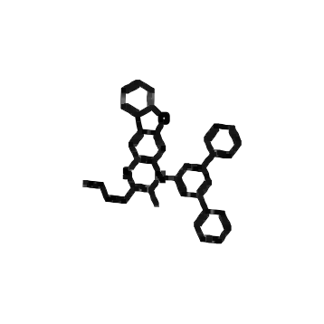 C=C/C=C\C1=C(C)N(c2cc(-c3ccccc3)cc(-c3ccccc3)c2)c2cc3oc4ccccc4c3cc2S1